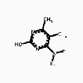 CCN(CC)c1nc(O)nc(C)c1C